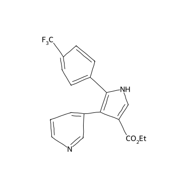 CCOC(=O)c1c[nH]c(-c2ccc(C(F)(F)F)cc2)c1-c1cccnc1